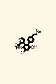 CN(C)CCc1ccc(-c2c(O)cc(Cl)c3[nH]c(=O)c4sccc4c23)cc1